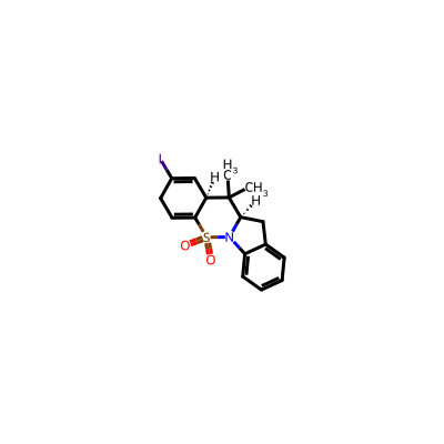 CC1(C)[C@@H]2C=C(I)CC=C2S(=O)(=O)N2c3ccccc3C[C@@H]21